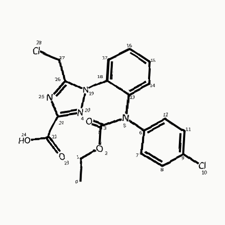 CCOC(=O)N(c1ccc(Cl)cc1)c1ccccc1-n1nc(C(=O)O)nc1CCl